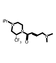 CC(C)N1CCN(C(=O)/C=C/CN(C)C)[C@H](C(F)(F)F)C1